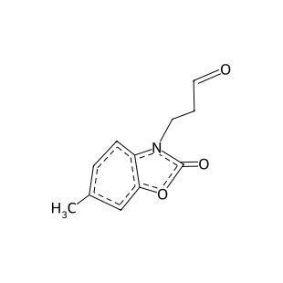 Cc1ccc2c(c1)oc(=O)n2CCC=O